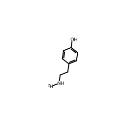 [2H]NCCc1ccc(O)cc1